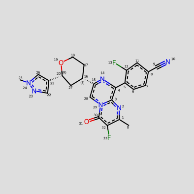 Cc1nc2c(-c3ccc(C#N)cc3F)nc([C@H]3CCO[C@@H](c4cnn(C)c4)C3)cn2c(=O)c1F